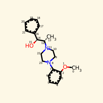 COc1ccccc1N1CCN([C@@H](C)[C@@H](O)c2ccccc2)CC1